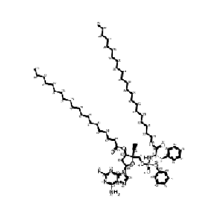 C#CC1(COP(=O)(N[C@@H](Cc2ccccc2)C(=O)OCCCCCCCCCCCCCCCCCCCCCC)Oc2ccccc2)OC(n2cnc3c(N)nc(F)nc32)CC1OC(=O)CCCCCCCCCCCCCCCCCCC